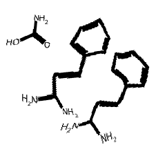 NC(=O)O.NC(N)C=Cc1ccccc1.NC(N)C=Cc1ccccc1